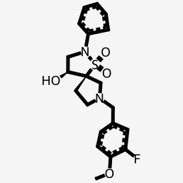 COc1ccc(CN2CC[C@@]3(C2)[C@@H](O)CN(c2ccccc2)S3(=O)=O)cc1F